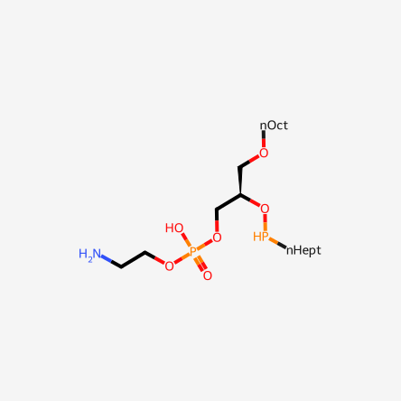 CCCCCCCCOC[C@H](COP(=O)(O)OCCN)OPCCCCCCC